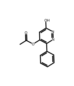 CC(=O)Oc1cc(O)nnc1-c1ccccc1